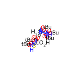 Cn1c(-c2ccc(OC[C@H](O/N=C(\C(=O)O)c3csc(NC(=O)OC(C)(C)C)n3)C(=O)OC(C)(C)C)cc2)cn(CC(CNC(=O)OC(C)(C)C)CNC(=O)OC(C)(C)C)c1=NC(=O)OC(C)(C)C